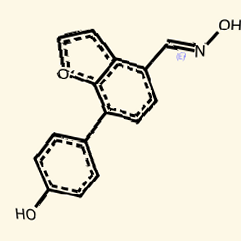 O/N=C/c1ccc(-c2ccc(O)cc2)c2occc12